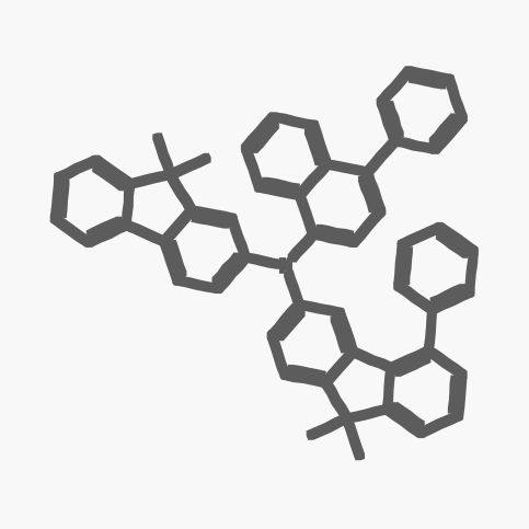 CC1(C)c2ccccc2-c2ccc(N(c3ccc4c(c3)-c3c(-c5ccccc5)cccc3C4(C)C)c3ccc(-c4ccccc4)c4ccccc34)cc21